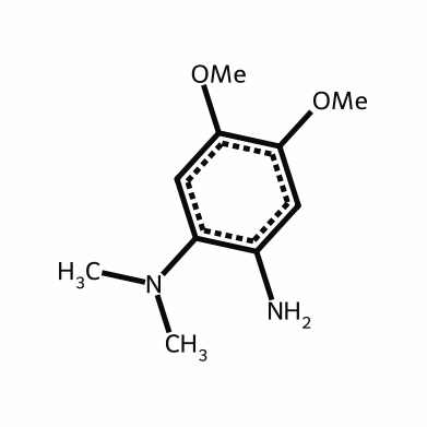 COc1cc(N)c(N(C)C)cc1OC